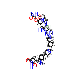 CNC(=O)COc1cc2cc(Nc3nc(N4CCC5(CCC(CN6CCC(c7ccc8c(C9CCC(=O)NC9=O)nn(C)c8c7)CC6)CC5)CC4)ncc3Cl)cnc2n(C(C)C)c1=O